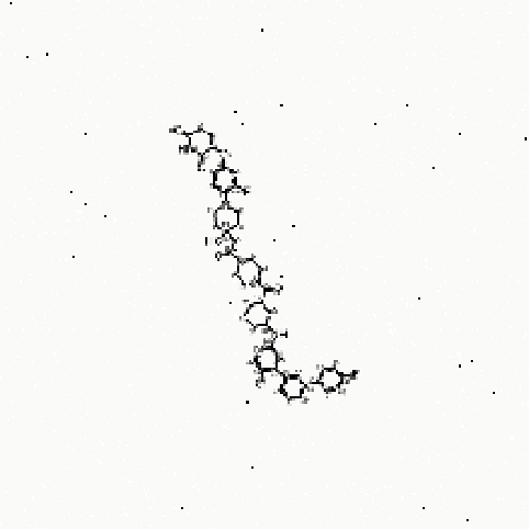 O=C1CCC(Oc2ccc(N3CCC(O)(CC(=O)N4CCN(C(=O)C5CCCC(Nc6ncc(Cl)c(-c7cccc(-c8ccc(F)cc8)c7)n6)C5)CC4)CC3)c(F)c2)C(=O)N1